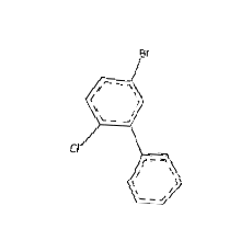 Clc1ccc(Br)cc1-c1c[c]ccc1